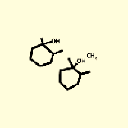 C.CC1CCCCC1(C)O.CC1CCCCC1(C)O